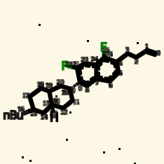 C=CCCc1ccc2cc([C@@H]3CC[C@@H]4CC(CCCC)CCC4C3)c(F)cc2c1F